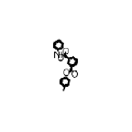 Cc1ccc(OC(=O)c2cccc(C(=O)Oc3ccccc3N)c2)cc1